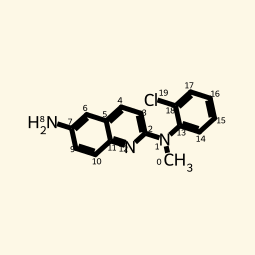 CN(c1ccc2cc(N)ccc2n1)c1ccccc1Cl